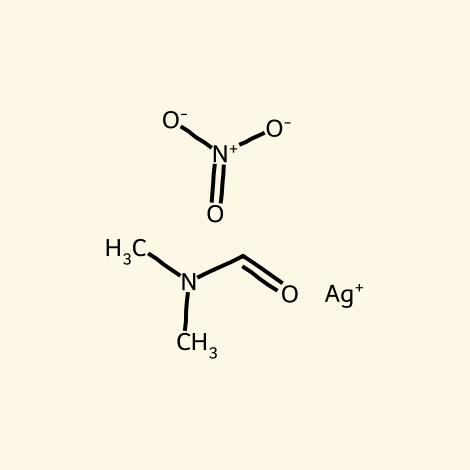 CN(C)C=O.O=[N+]([O-])[O-].[Ag+]